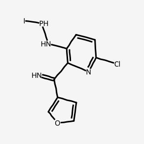 N=C(c1ccoc1)c1nc(Cl)ccc1NPI